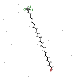 Cl[Si](Cl)(Cl)CCCCCCCCCCCCCCCCCCCCCCCCBr